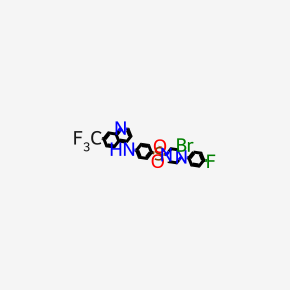 O=S(=O)(c1ccc(Nc2ccnc3cc(C(F)(F)F)ccc23)cc1)N1CCN(c2ccc(F)cc2Br)CC1